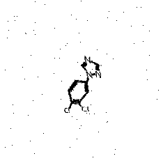 Clc1ccc(-n2cn[c]n2)cc1Cl